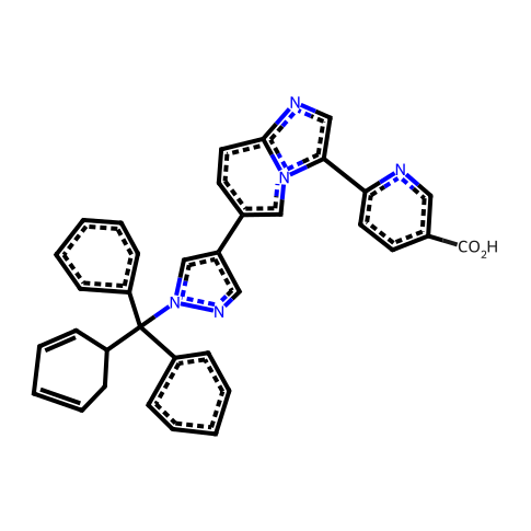 O=C(O)c1ccc(-c2cnc3ccc(-c4cnn(C(c5ccccc5)(c5ccccc5)C5C=CC=CC5)c4)cn23)nc1